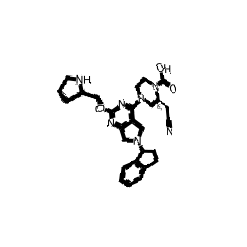 N#CC[C@H]1CN(c2nc(OCC3CCCN3)nc3c2CN(C2CCc4ccccc42)C3)CCN1C(=O)O